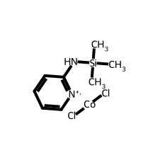 C[Si](C)(C)NC1=[N+]C=CC=C1.[Cl][Co][Cl]